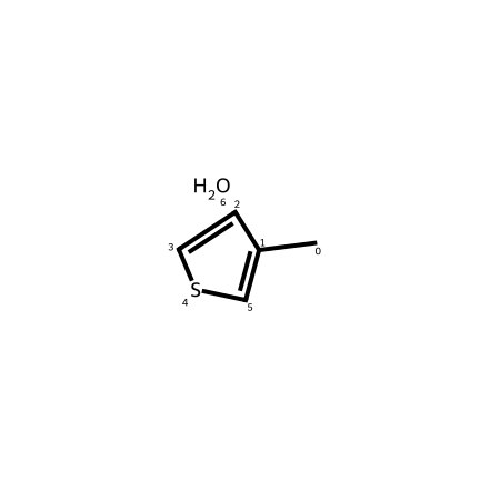 Cc1ccsc1.O